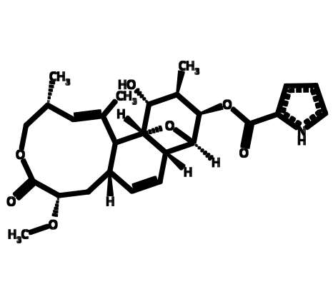 CO[C@H]1C[C@H]2C=C[C@H]3[C@H]4O[C@]2(/C(C)=C/[C@@H](C)COC1=O)[C@@H]3[C@H](O)[C@@H](C)[C@H]4OC(=O)c1ccc[nH]1